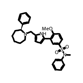 COc1ccc(S(=O)(=O)N(C)c2ccccc2)cc1-c1ccc(CN2CCCCC[C@H]2c2ccccc2)[nH]1